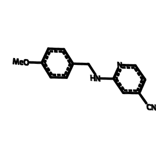 COc1ccc(CNc2cc(C#N)ccn2)cc1